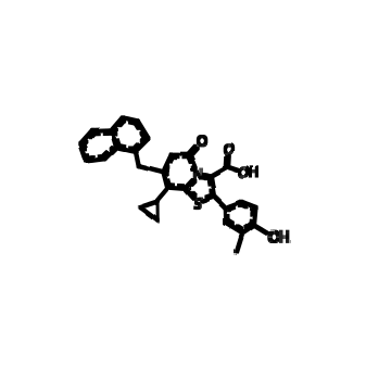 Cc1cc(-c2sc3c(C4CC4)c(Cc4cccc5ccccc45)cc(=O)n3c2C(=O)O)ccc1O